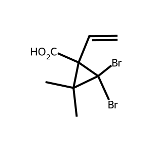 C=CC1(C(=O)O)C(C)(C)C1(Br)Br